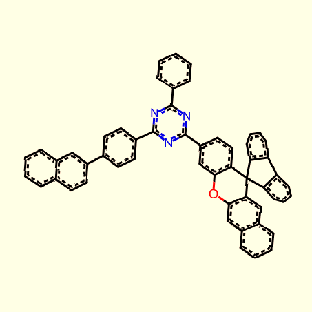 c1ccc(-c2nc(-c3ccc(-c4ccc5ccccc5c4)cc3)nc(-c3ccc4c(c3)Oc3cc5ccccc5cc3C43c4ccccc4-c4ccccc43)n2)cc1